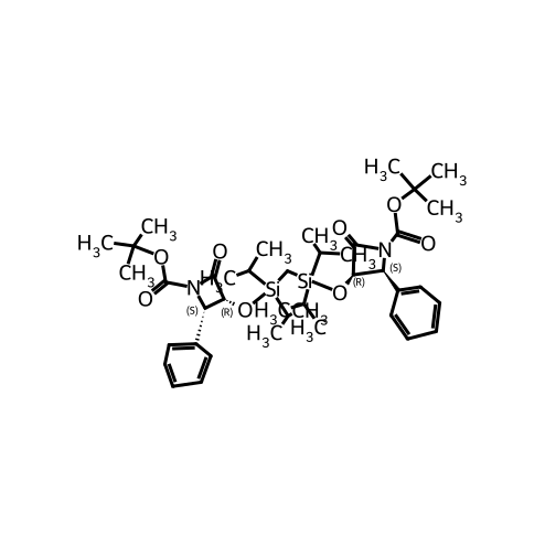 CC(C)[Si](C[Si](O[C@H]1C(=O)N(C(=O)OC(C)(C)C)[C@H]1c1ccccc1)(C(C)C)C(C)C)(O[C@H]1C(=O)N(C(=O)OC(C)(C)C)[C@H]1c1ccccc1)C(C)C